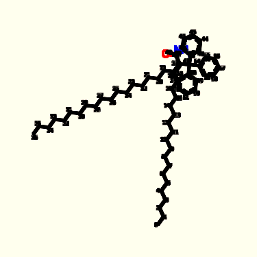 CCCCCCCCCCCCCCCCCCC(CCCCCCCCCCCCCCCCCC)=C(C(N)=O)C(c1ccccc1)(c1ccccc1)c1ccccc1